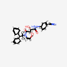 CC(C)(C(c1ccccc1)c1ccccc1)N1CCO[C@H]([C@@H](O)C(=O)Nc2ccc(C#N)cc2)C1=O